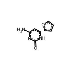 Nc1cc[nH]c(=O)n1.c1ccoc1